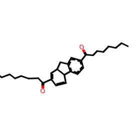 CCCCCCCC(=O)C1=CC2Cc3cc(C(=O)CCCCCCC)ccc3C2C=C1